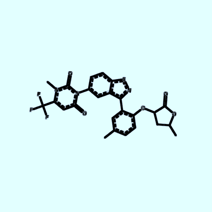 Cc1ccc(OC2CC(C)OC2=O)c(-c2nsc3ccc(-n4c(=O)cc(C(F)(F)F)n(C)c4=O)cc23)c1